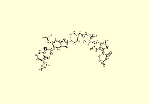 CC(C)Oc1cc2nc([C@H]3CC[C@H](CN4CC[C@H](c5cc6c(cc5F)c(N5CCC(=O)NC5=O)nn6C)[C@H](O)C4)CC3)cn2cc1C(=O)Nc1cccn([C@H]2C[C@H]2F)c1=O